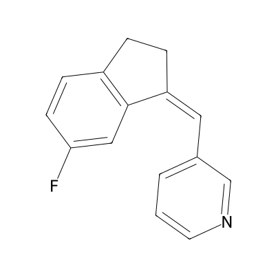 Fc1ccc2c(c1)/C(=C\c1cccnc1)CC2